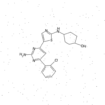 Nc1nc(-c2cnc(NC3CCC(O)CC3)s2)cc(-c2ccccc2Cl)n1